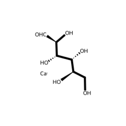 O=C[C@@H](O)[C@@H](O)[C@H](O)[C@H](O)CO.[Ca]